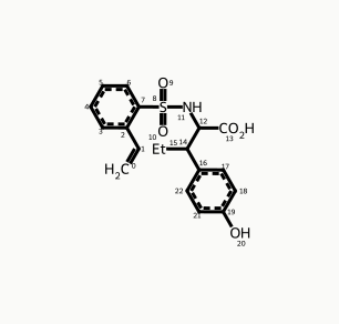 C=Cc1ccccc1S(=O)(=O)NC(C(=O)O)C(CC)c1ccc(O)cc1